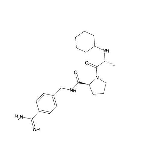 C[C@@H](NC1CCCCC1)C(=O)N1CCC[C@H]1C(=O)NCc1ccc(C(=N)N)cc1